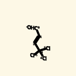 O=[C]C=CC(Cl)(Cl)Cl